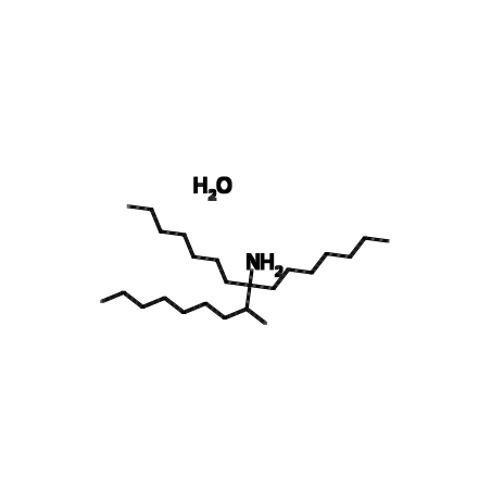 CCCCCCCC(C)C(N)(CCCCCCC)CCCCCCC.O